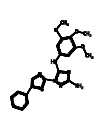 COc1cc(Nc2nc(N)nn2-c2ncc(-c3ccccc3)s2)cc(OC)c1OC